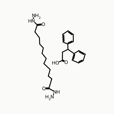 NNC(=O)CCCCCCCCCCC(=O)NN.O=C(O)CC(c1ccccc1)c1ccccc1